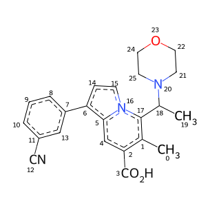 Cc1c(C(=O)O)cc2c(-c3cccc(C#N)c3)ccn2c1C(C)N1CCOCC1